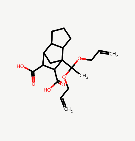 C=CCOC(C)(OCC=C)C12CC(C3CCCC31)C(C(=O)O)C2C(=O)O